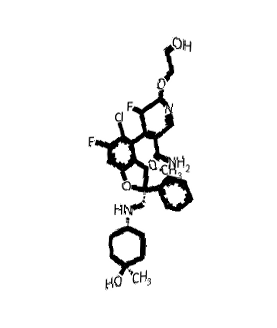 C[C@H]1c2c(cc(F)c(Cl)c2C2=C(C(N)=O)C=NC(OCCO)C2F)O[C@]1(CN[C@H]1CC[C@](C)(O)CC1)c1ccccc1